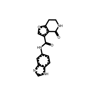 O=C(Nc1ccc2[nH]cnc2c1)c1coc2c1C(=O)NCC2